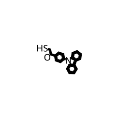 O=C(CS)c1ccc(-n2c3ccccc3c3ccccc32)cc1